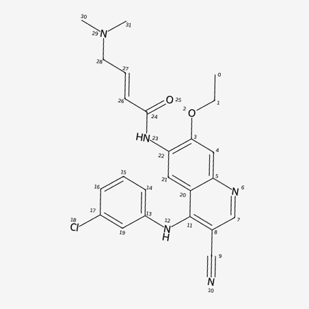 CCOc1cc2ncc(C#N)c(Nc3cccc(Cl)c3)c2cc1NC(=O)/C=C/CN(C)C